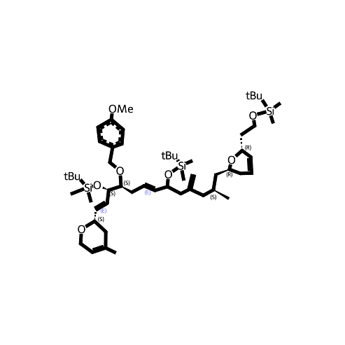 C=C(CC(/C=C/C[C@H](OCc1ccc(OC)cc1)[C@H](/C=C/[C@@H]1CC(C)=CCO1)O[Si](C)(C)C(C)(C)C)O[Si](C)(C)C(C)(C)C)C[C@H](C)C[C@@H]1CC=C[C@@H](CCO[Si](C)(C)C(C)(C)C)O1